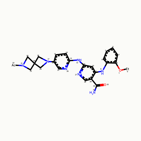 CCOc1ccccc1Nc1cc(Nc2ccc(N3CC4(CN(C(C)=O)C4)C3)cn2)ncc1C(N)=O